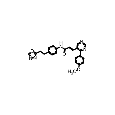 COc1ccc(-c2ncncc2/C=C/C(=O)Nc2ccc(CCc3nnco3)cc2)cc1